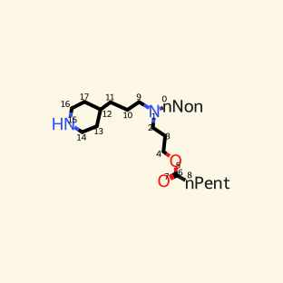 CCCCCCCCCN(CCCOC(=O)CCCCC)CCCC1CCNCC1